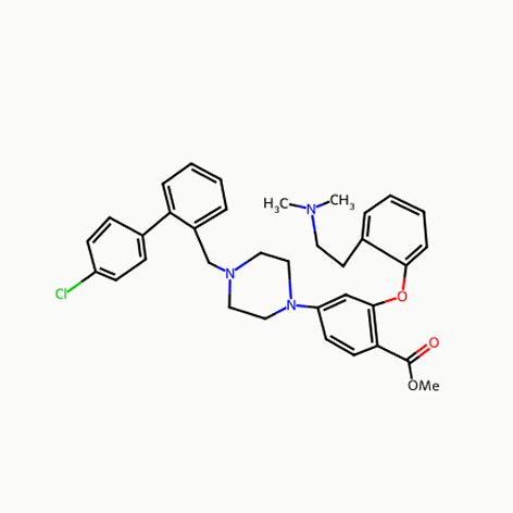 COC(=O)c1ccc(N2CCN(Cc3ccccc3-c3ccc(Cl)cc3)CC2)cc1Oc1ccccc1CCN(C)C